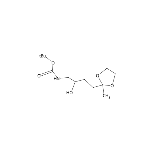 CC(C)(C)OC(=O)NCC(O)CCC1(C)OCCO1